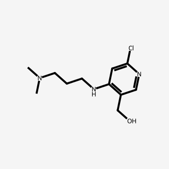 CN(C)CCCNc1cc(Cl)ncc1CO